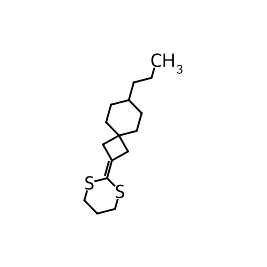 CCCC1CCC2(CC1)CC(=C1SCCCS1)C2